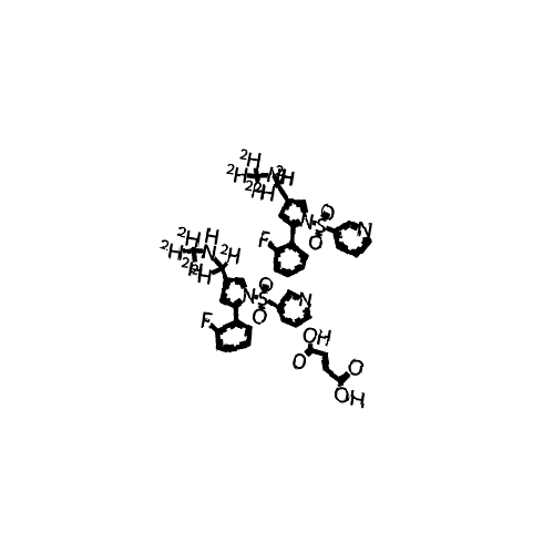 O=C(O)/C=C/C(=O)O.[2H]C([2H])([2H])NC([2H])([2H])c1cc(-c2ccccc2F)n(S(=O)(=O)c2cccnc2)c1.[2H]C([2H])([2H])NC([2H])([2H])c1cc(-c2ccccc2F)n(S(=O)(=O)c2cccnc2)c1